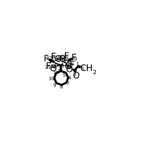 C=CC(=O)OC1CCCCCCC1C(S(=O)(=O)C(F)(F)F)S(=O)(=O)C(F)(F)F